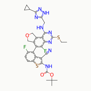 CCSc1nc(NCc2nc(C3CC3)n[nH]2)c2c3c(c(-c4c(F)ccc5sc(NC(=O)OC(C)(C)C)c(C#N)c45)c(F)c2n1)COC3